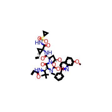 C=CC(=O)NC([C@@H](C(=O)N1C[C@H](Oc2cc(-c3ccccc3)nc3cc(OC)ccc23)C[C@H]1C(=O)N[C@]1(C(=O)NS(=O)(=O)C2CC2)C[C@H]1C=C)N(CC)C(=O)O)C(C)(C)C